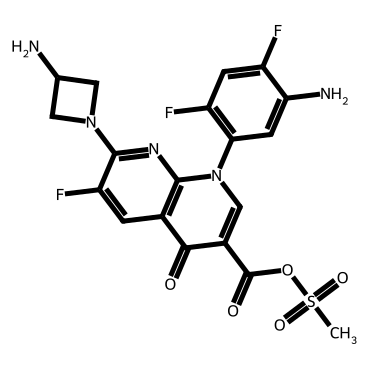 CS(=O)(=O)OC(=O)c1cn(-c2cc(N)c(F)cc2F)c2nc(N3CC(N)C3)c(F)cc2c1=O